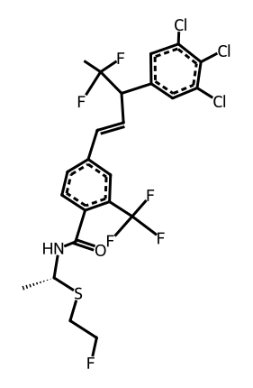 C[C@H](NC(=O)c1ccc(/C=C/C(c2cc(Cl)c(Cl)c(Cl)c2)C(C)(F)F)cc1C(F)(F)F)SCCF